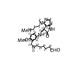 CNCCCN(C)c1ncnc2c1/C(=C/Nc1ccc(OC)c(CN(C)CCCCCC=O)c1)C(=O)N2